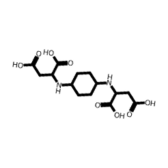 O=C(O)CC(NC1CCC(NC(CC(=O)O)C(=O)O)CC1)C(=O)O